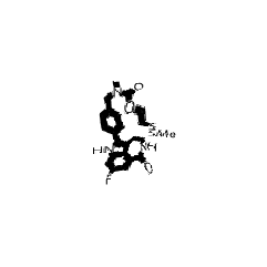 CSSCCOC(=O)N(C)Cc1ccc(-c2[nH]c3cc(F)cc4c3c2CCNC4=O)cc1